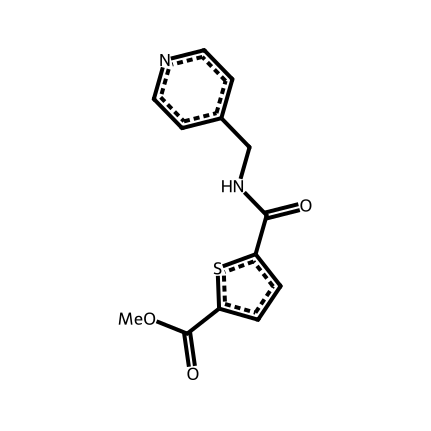 COC(=O)c1ccc(C(=O)NCc2ccncc2)s1